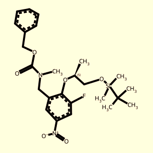 C[C@@H](CO[Si](C)(C)C(C)(C)C)Oc1c(F)cc([N+](=O)[O-])cc1CN(C)C(=O)OCc1ccccc1